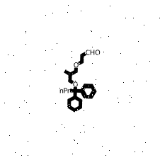 [CH2]CCC(OCC(C)COCCC=O)(c1ccccc1)C1CCCCC1